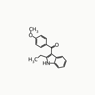 CCc1[nH]c2ccccc2c1C(=O)c1ccc(OC)cc1